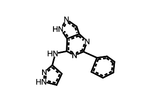 c1ccc(-c2nc(Nc3cc[nH]n3)c3[nH]ncc3n2)cc1